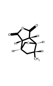 C[C@@H]1C[C@@H]2CC[C@H]1[C@H]1C(=O)OC(=O)[C@@H]21